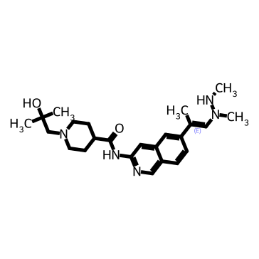 CNN(C)/C=C(\C)c1ccc2cnc(NC(=O)C3CCN(CC(C)(C)O)CC3)cc2c1